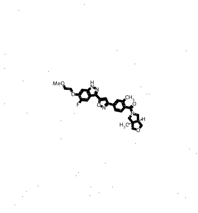 COCCOc1cc2[nH]nc(-c3cc(-c4ccc(C(=O)N5C[C@H]6COC[C@@]6(C)C5)c(C)c4)no3)c2cc1F